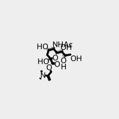 C=C(COC(=O)[C@]1(O)C[C@H](O)[C@@H](NC(C)=O)[C@H]([C@H](O)[C@H](O)CO)O1)N(C)C